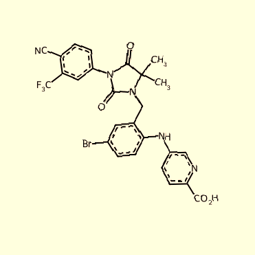 CC1(C)C(=O)N(c2ccc(C#N)c(C(F)(F)F)c2)C(=O)N1Cc1cc(Br)ccc1Nc1ccc(C(=O)O)nc1